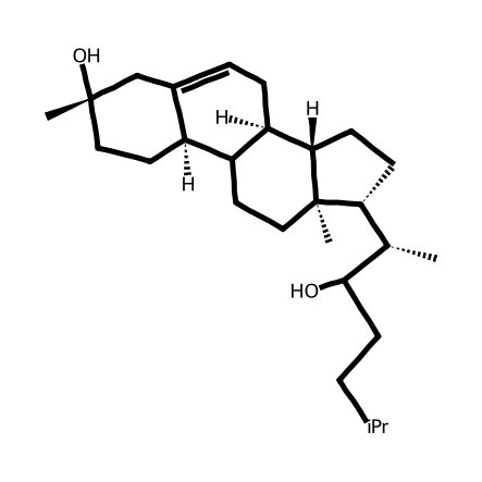 CC(C)CCC(O)[C@@H](C)[C@H]1CC[C@H]2[C@@H]3CC=C4C[C@@](C)(O)CC[C@@H]4C3CC[C@]12C